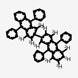 [2H]c1c(-c2c([2H])c([2H])c3c(-c4ccccc4)c4c([2H])c([2H])c([2H])c([2H])c4c(-c4ccccc4)c3c2[2H])c([2H])c2c(-c3ccccc3)c3ccccc3c(-c3ccccc3)c2c1[2H]